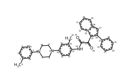 Cc1ccnc(N2CCN(c3ccc(NC(=O)C(=O)c4c(-c5ccccc5)cc5ccccn45)c(C)c3)CC2)c1